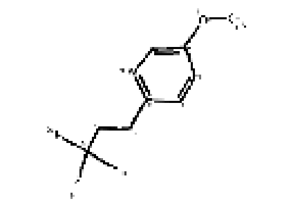 COc1ccc(CCC(F)(F)F)nc1